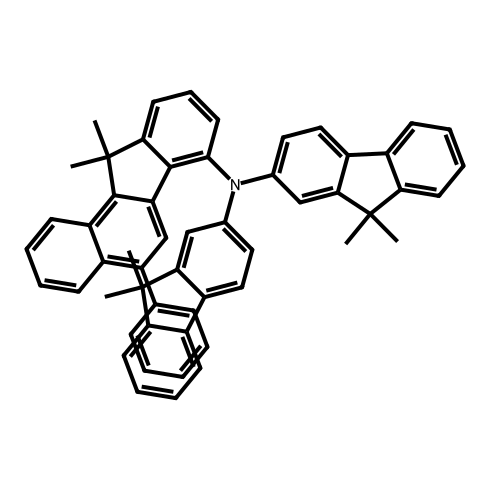 CC1(C)c2ccccc2-c2ccc(N(c3ccc4c(c3)C(C)(C)c3ccccc3-4)c3cccc4c3-c3cc(-c5ccccc5)c5ccccc5c3C4(C)C)cc21